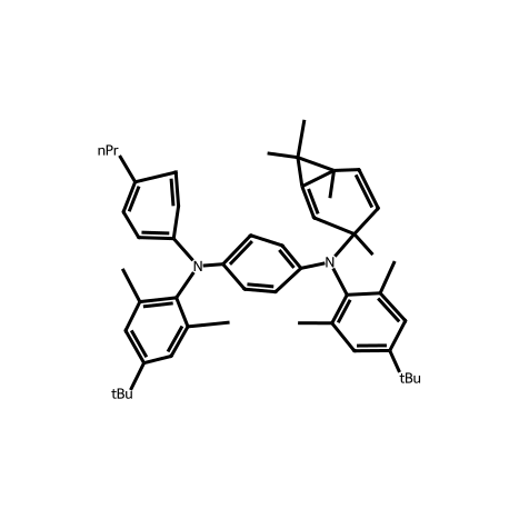 CCCc1ccc(N(c2ccc(N(c3c(C)cc(C(C)(C)C)cc3C)C3(C)C=CC4(C)C(=C3)C4(C)C)cc2)c2c(C)cc(C(C)(C)C)cc2C)cc1